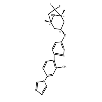 C[C@]12C[C@H](Oc3ccc(-c4ccc(-n5ccnc5)cc4O)nn3)C[C@](C)(N1)C(F)(F)C2